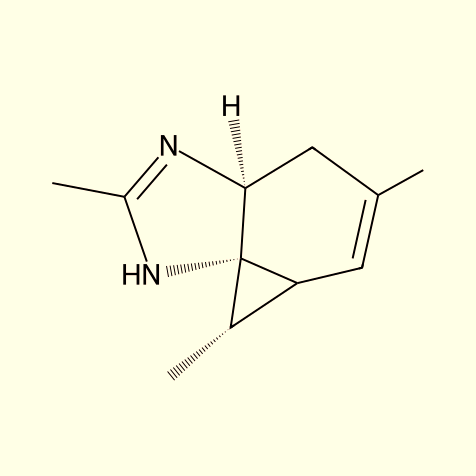 CC1=CC2[C@H](C)[C@]23NC(C)=N[C@H]3C1